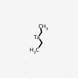 C[CH2][Ta][CH2]C